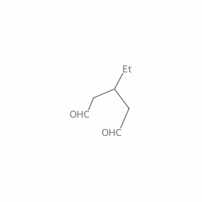 CCC(CC=O)CC=O